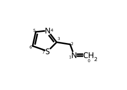 C=NCc1nccs1